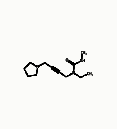 CCN(CC#CCN1CCCC1)C(=O)NC